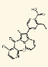 CCc1cc(-c2c(C)c(C(=O)c3c(Cl)ccnc3Cl)n3ccccc23)ccc1C(=O)O